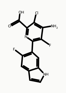 Nc1c(F)c(-c2cc3[nH]ccc3cc2F)nc(C(=O)O)c1Cl